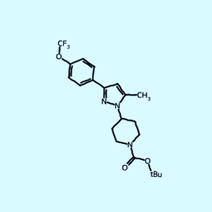 Cc1cc(-c2ccc(OC(F)(F)F)cc2)nn1C1CCN(C(=O)OC(C)(C)C)CC1